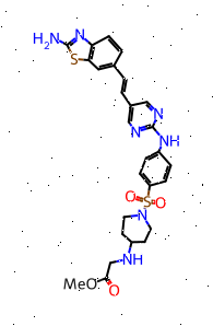 COC(=O)CNC1CCN(S(=O)(=O)c2ccc(Nc3ncc(C=Cc4ccc5nc(N)sc5c4)cn3)cc2)CC1